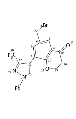 CCn1cc(-c2cc(CBr)cc3c2OCCC3=O)c(C(F)(F)F)n1